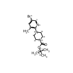 Cc1cc(Br)cnc1N1CCN(C(=O)OC(C)(C)C)CC1